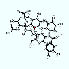 CC(=O)N[C@@H]1C(O)C[C@](OC2C(O)[C@H](O[C@@H]3C(CO)O[C@@H](C)C(NC(=O)c4ccc(O)c(O)c4)[C@H]3O[C@@H]3OC(C)[C@@H](O)C(O)[C@@H]3O)OC(CO)[C@@H]2O)(C(=O)O)OC1[C@H](O)[C@H](O)CO